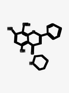 C1CCNCC1.COc1c(O)cc(O)c2c(=O)cc(-c3ccccc3)oc12